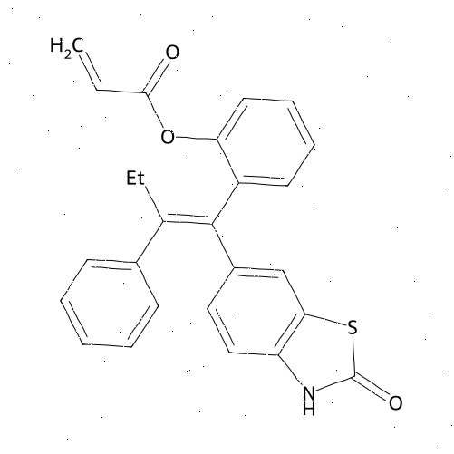 C=CC(=O)Oc1ccccc1/C(=C(\CC)c1ccccc1)c1ccc2[nH]c(=O)sc2c1